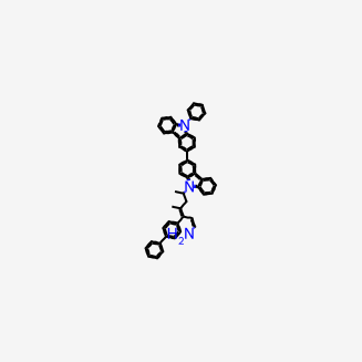 C/C(CC(C)n1c2ccccc2c2cc(-c3ccc4c(c3)c3ccccc3n4-c3ccccc3)ccc21)=C(/C=C\N)c1ccc(-c2ccccc2)cc1